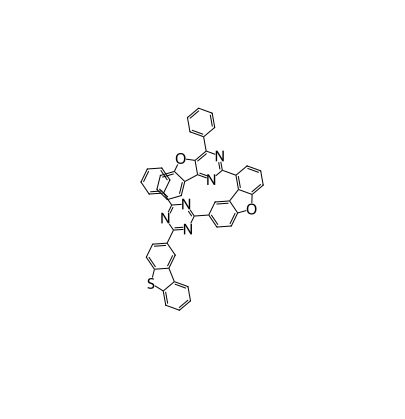 c1ccc(-c2nc(-c3ccc4sc5ccccc5c4c3)nc(-c3ccc4oc5cccc(-c6nc(-c7ccccc7)c7oc8ccccc8c7n6)c5c4c3)n2)cc1